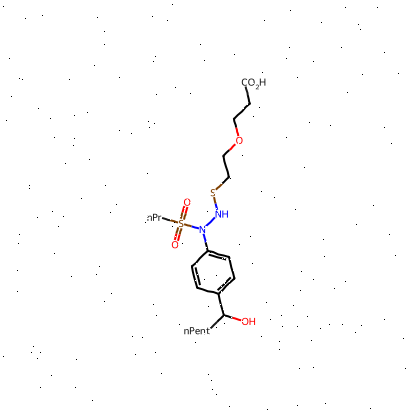 CCCCCC(O)c1ccc(N(NSCCOCCC(=O)O)S(=O)(=O)CCC)cc1